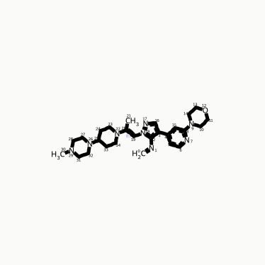 C=Nc1c(-c2ccnc(N3CCOCC3)c2)cnn1/C=C(\C)N1CCC(N2CCN(C)CC2)CC1